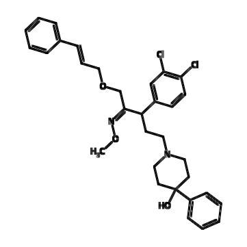 CON=C(COCC=Cc1ccccc1)C(CCN1CCC(O)(c2ccccc2)CC1)c1ccc(Cl)c(Cl)c1